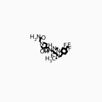 CCN(Cc1ccc(C(F)(F)F)cc1)c1ncnc(NC[C@@]2(O)CCN(CC(N)=O)C[C@H]2O)c1F